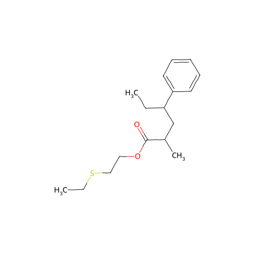 CCSCCOC(=O)C(C)CC(CC)c1ccccc1